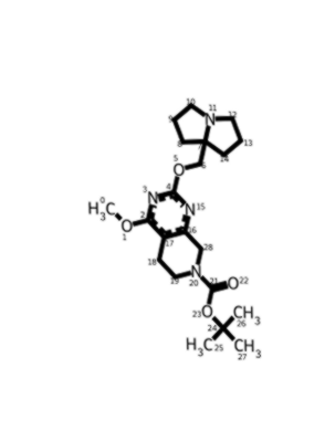 COc1nc(OCC23CCCN2CCC3)nc2c1CCN(C(=O)OC(C)(C)C)C2